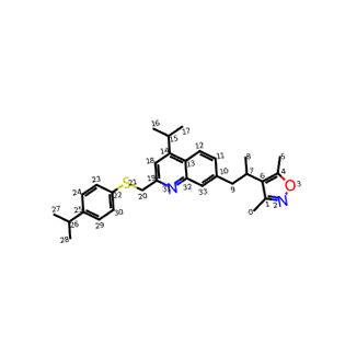 Cc1noc(C)c1C(C)Cc1ccc2c(C(C)C)cc(CSc3ccc(C(C)C)cc3)nc2c1